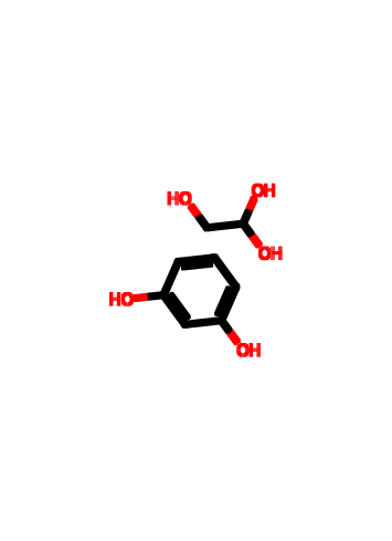 OCC(O)O.Oc1cccc(O)c1